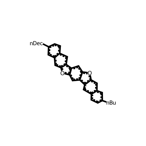 CCCCCCCCCCc1ccc2cc3c(cc2c1)oc1cc2c(cc13)oc1cc3cc(CCCC)ccc3cc12